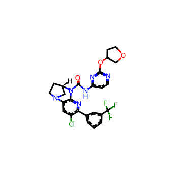 O=C(Nc1ccnc(O[C@H]2CCOC2)n1)N1c2nc(-c3cccc(C(F)(F)F)c3)c(Cl)cc2N2CC[C@H]1C2